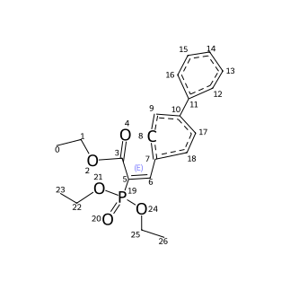 CCOC(=O)/C(=C\c1ccc(-c2ccccc2)cc1)P(=O)(OCC)OCC